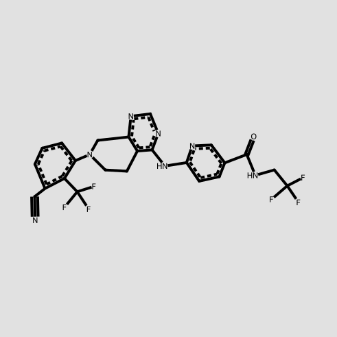 N#Cc1cccc(N2CCc3c(ncnc3Nc3ccc(C(=O)NCC(F)(F)F)cn3)C2)c1C(F)(F)F